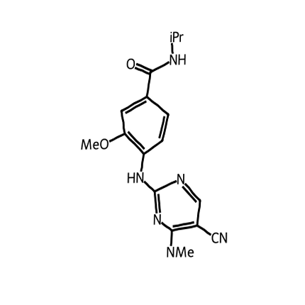 CNc1nc(Nc2ccc(C(=O)NC(C)C)cc2OC)ncc1C#N